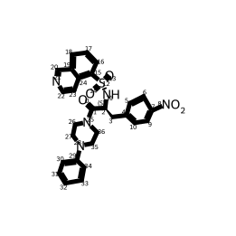 O=C([C@H](Cc1ccc([N+](=O)[O-])cc1)NS(=O)(=O)c1cccc2cnccc12)N1CCN(c2ccccc2)CC1